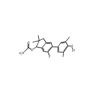 CCOc1c(C)cc(-c2cc3c(cc2F)C(OC(N)=O)C(C)(C)C3)cc1C